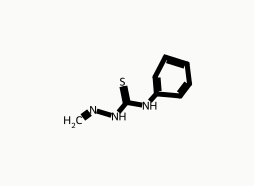 C=NNC(=S)Nc1ccccc1